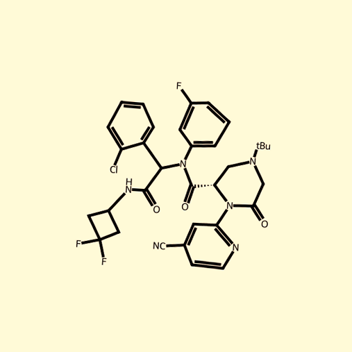 CC(C)(C)N1CC(=O)N(c2cc(C#N)ccn2)[C@H](C(=O)N(c2cccc(F)c2)C(C(=O)NC2CC(F)(F)C2)c2ccccc2Cl)C1